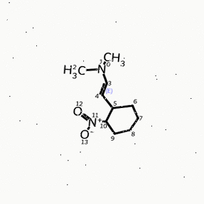 CN(C)/C=C/C1CCCCC1[N+](=O)[O-]